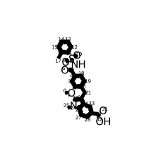 COc1cc(C(=O)NS(=O)(=O)c2ccccc2C)ccc1Cc1cn(C)c2ccc(C(=O)O)cc12